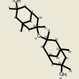 CC1(O)CC2CC(C)(C1)CC(C)(OC1(C)CC3CC(C)(O)CC(C)(C3)C1)C2